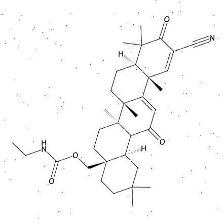 CCNC(=O)OC[C@]12CCC(C)(C)C[C@@H]1C1C(=O)C=C3[C@@]4(C)C=C(C#N)C(=O)C(C)(C)[C@@H]4CC[C@@]3(C)[C@]1(C)CC2